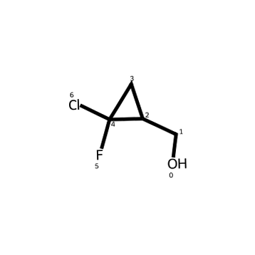 OCC1CC1(F)Cl